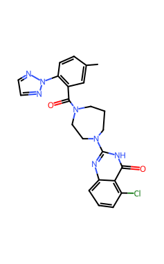 Cc1ccc(-n2nccn2)c(C(=O)N2CCCN(c3nc4cccc(Cl)c4c(=O)[nH]3)CC2)c1